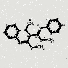 CCC(=Nc1ccccc1)C(CC)C(CC)=Nc1ccccc1